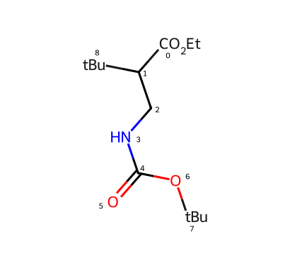 CCOC(=O)C(CNC(=O)OC(C)(C)C)C(C)(C)C